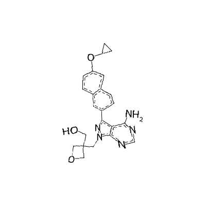 Nc1ncnc2c1c(-c1ccc3cc(OC4CC4)ccc3c1)nn2CC1(CO)COC1